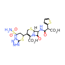 NS(=O)(=O)CCC(Sc1nnn[nH]1)C1=C(C(=O)O)N2C(=O)C(NC(=O)C(C(=O)O)c3cccs3)[C@@H]2SC1